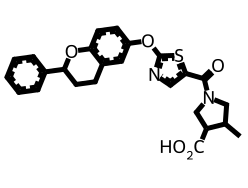 CC1CN(C(=O)c2cnc(Oc3ccc4c(c3)CCC(c3ccccc3)O4)s2)CC1C(=O)O